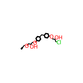 C#CCOC[C@@H](O)COc1ccc(Cc2ccc(OC[C@H](O)CCl)cc2)cc1